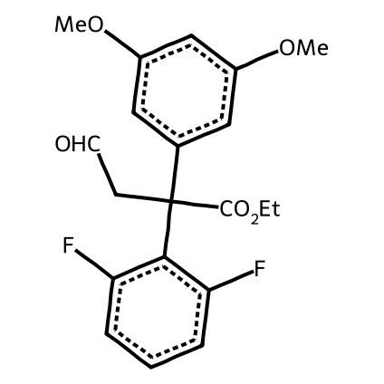 CCOC(=O)C(CC=O)(c1cc(OC)cc(OC)c1)c1c(F)cccc1F